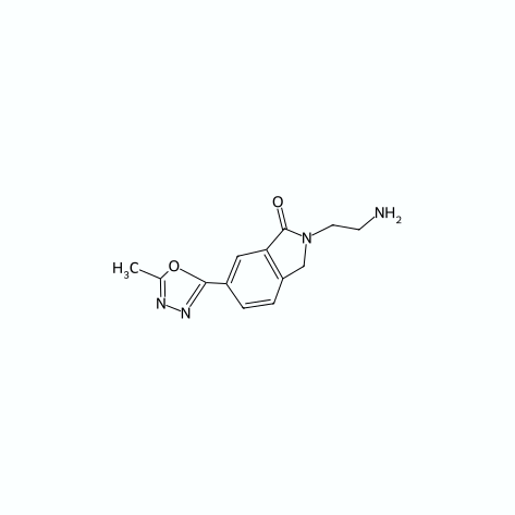 Cc1nnc(-c2ccc3c(c2)C(=O)N(CCN)C3)o1